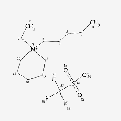 CCCCC[N+]1(CC)CCCCC1.O=S(=O)([O-])C(F)(F)F